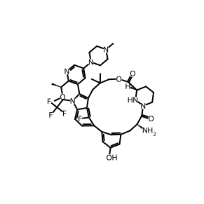 CO[C@@H](C)c1ncc(N2CCN(C)CC2)cc1-c1c2c3c(F)c(ccc3n1CC(F)(F)F)-c1cc(O)cc(c1)C[C@H](N)C(=O)N1CCC[C@H](N1)C(=O)OCC(C)(C)C2